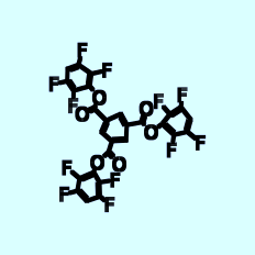 O=C(Oc1c(F)c(F)cc(F)c1F)c1cc(C(=O)Oc2c(F)c(F)cc(F)c2F)cc(C(=O)Oc2c(F)c(F)cc(F)c2F)c1